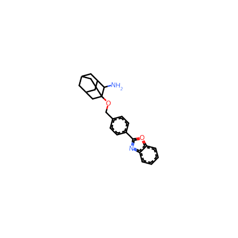 NC1C2CC3CC(C2)CC1(OCc1ccc(-c2nc4ccccc4o2)cc1)C3